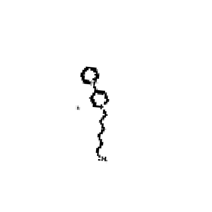 CCCCCCCN1C=CC([n+]2ccccc2)=CC1.[Br-]